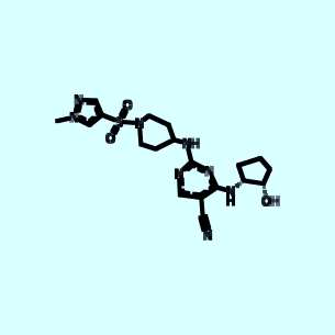 Cn1cc(S(=O)(=O)N2CCC(Nc3ncc(C#N)c(N[C@@H]4CCC[C@@H]4O)n3)CC2)cn1